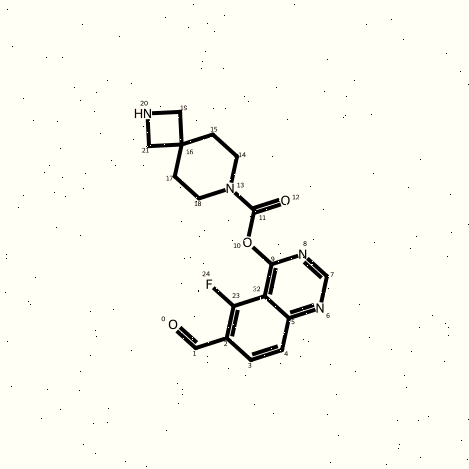 O=Cc1ccc2ncnc(OC(=O)N3CCC4(CC3)CNC4)c2c1F